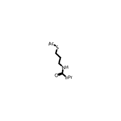 CCCC(=O)NCCCSC(C)=O